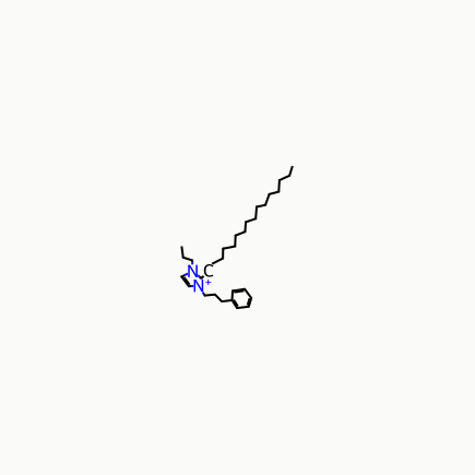 CCCCCCCCCCCCCCCCc1n(CCC)cc[n+]1CCCc1ccccc1